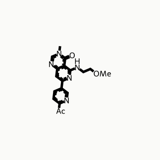 COCCNc1nc(-c2ccc(C(C)=O)nc2)cc2ncn(C)c(=O)c12